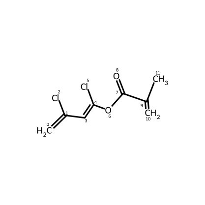 C=C(Cl)C=C(Cl)OC(=O)C(=C)C